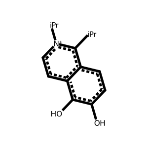 CC(C)c1c2ccc(O)c(O)c2cc[n+]1C(C)C